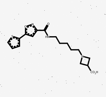 O=C(NCCCCCN1CC(C(=O)O)C1)c1cc(-c2cccs2)on1